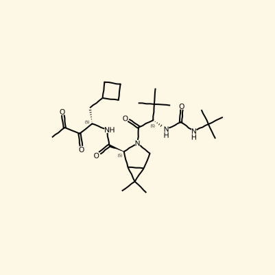 CC(=O)C(=O)[C@H](CC1CCC1)NC(=O)[C@@H]1C2C(CN1C(=O)[C@@H](NC(=O)NC(C)(C)C)C(C)(C)C)C2(C)C